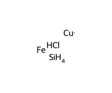 Cl.[Cu].[Fe].[SiH4]